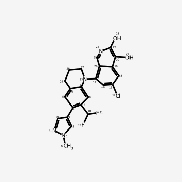 Cn1cc(-c2cc3c(cc2C(F)F)N(c2cc(Cl)cc4c(O)c(O)ncc24)CCC3)cn1